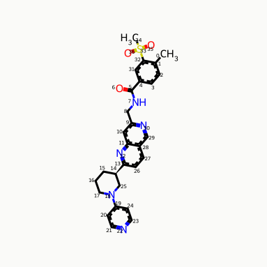 Cc1ccc(C(=O)NCc2cc3nc([C@@H]4CCCN(c5ccncc5)C4)ccc3cn2)cc1S(C)(=O)=O